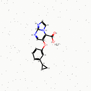 O=C([O-])c1c(Oc2cccc(C3CC3)c2)cnc2nccn12.[Li+]